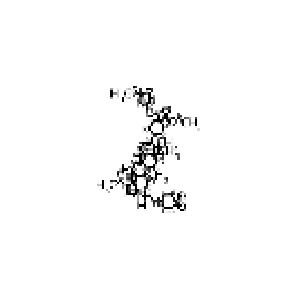 C=C(C)[C@@H]1CC[C@]2(NCCN3CCS(=O)(=O)CC3)CC[C@]3(C)[C@H](CC[C@@H]4[C@@]5(C)CC=C(C6=CCC(COc7nsc(SC)n7)(C(=O)OCC)CC6)C(C)(C)[C@@H]5CC[C@]43C)[C@@H]12